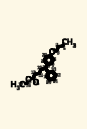 CCCCOc1ccc(C(CCCC(=O)OCC)c2ccccc2)cc1